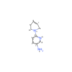 Nc1ccc(N2CC=CCC2)nc1